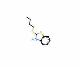 CCCCS[C]1Nc2ccccc2S1